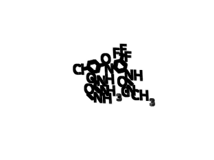 CN(C)CC(=O)Nc1cc(NC(=O)c2ccc(Cl)c(Oc3ncnc4c3OCCN4)c2)cc(C(F)(F)F)c1